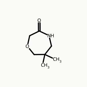 CC1(C)CNC(=O)COC1